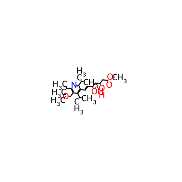 COCc1c(C(C)C)nc(C(C)C)c(C=CC(O)CC(O)CC(=O)OC)c1C(C)C